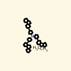 CC1(C)c2ccccc2-c2cc(-c3cccc(N(c4ccc(-c5ccc6c(ccc7ccccc76)c5)cc4)c4ccc(-c5cccc6c5ccc5ccccc56)cc4)c3)ccc21